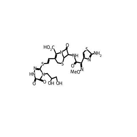 CO/N=C(\C(=O)NC1C(=O)N2C(C(=O)O)=C(/C=C/Sc3n[nH]c(=O)c(=O)n3CC(O)CO)CSC12)c1csc(N)n1